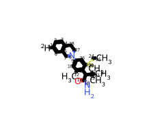 [2H]c1ccc2c(c1)CN(c1cc(C)c(C(C(N)=O)C(C)(C)C)c(SCC)c1)CC2